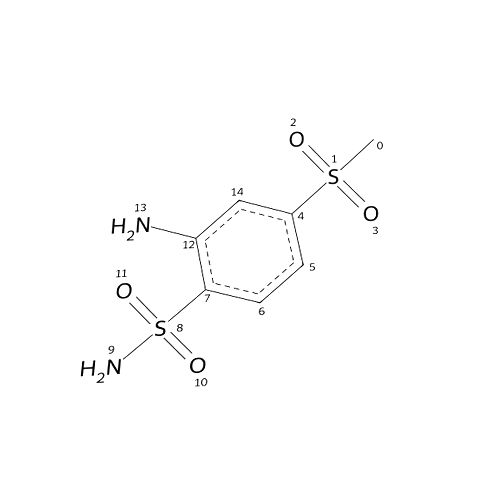 CS(=O)(=O)c1ccc(S(N)(=O)=O)c(N)c1